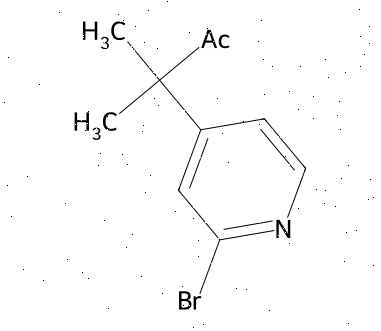 CC(=O)C(C)(C)c1ccnc(Br)c1